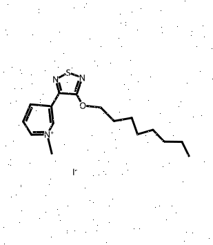 CCCCCCCCOc1nsnc1-c1ccc[n+](C)c1.[I-]